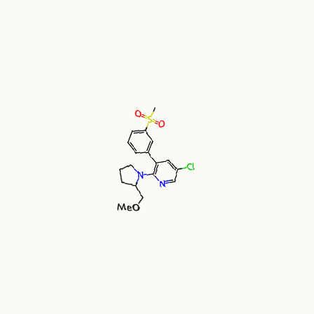 COCC1CCCN1c1ncc(Cl)cc1-c1cccc(S(C)(=O)=O)c1